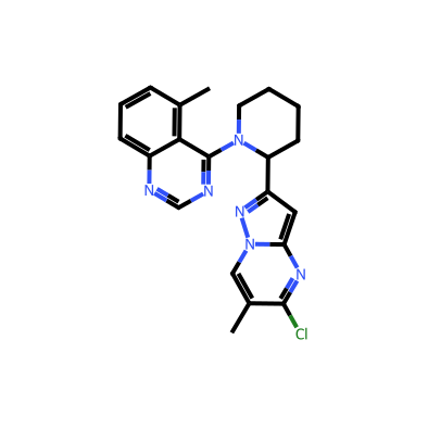 Cc1cn2nc(C3CCCCN3c3ncnc4cccc(C)c34)cc2nc1Cl